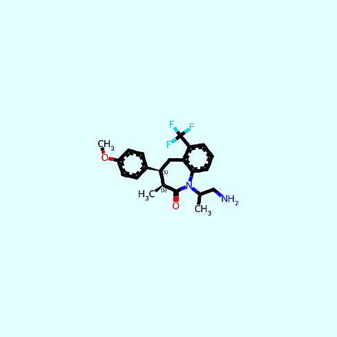 COc1ccc([C@H]2Cc3c(cccc3C(F)(F)F)N(C(C)CN)C(=O)[C@H]2C)cc1